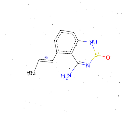 CC(C)(C)/C=C/c1cccc2c1C(N)=N[S+]([O-])N2